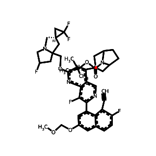 C#Cc1c(F)ccc2cc(OCOC)cc(-c3ncc4c(N5CC6CCC(C5)N6C(=O)OC(C)(C)C)nc(OCC56CC(F)CN5C[C@]5(C6)CC5(F)F)nc4c3F)c12